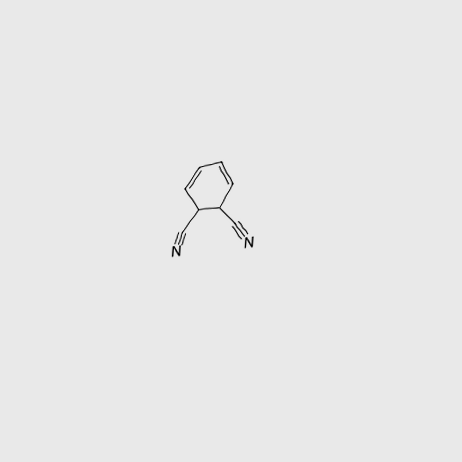 N#CC1C=CC=CC1C#N